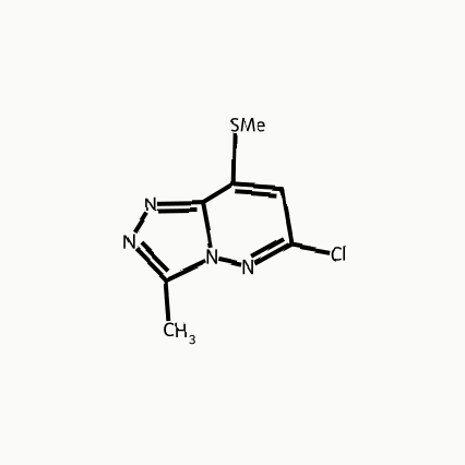 CSc1cc(Cl)nn2c(C)nnc12